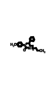 CCCCCCC(CN(C(N)=O)c1ccc(C)cc1)c1ccccc1